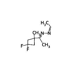 C/C=N\N=C(/C)C1(C)CC(F)(F)C1